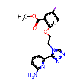 COC(=O)c1cc(I)ccc1OCCn1cnnc1-c1cccc(N)n1